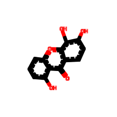 O=c1c2ccc(O)c(O)c2oc2cccc(O)c12